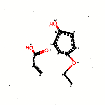 C=CC(=O)O.CCOc1ccc(O)cc1